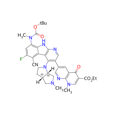 CCOC(=O)c1cn(C)c2ncc(-c3cnc4[nH]c5c(N(C)C(=O)OC(C)(C)C)cc(F)c(C#N)c5c4c3N3CC[C@H]4CN(C)C[C@H]43)cc2c1=O